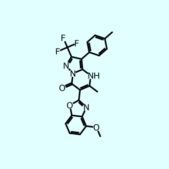 COc1cccc2oc(-c3c(C)[nH]c4c(-c5ccc(C)cc5)c(C(F)(F)F)nn4c3=O)nc12